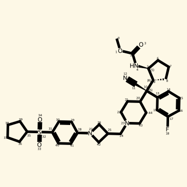 COC(=O)N[C@H]1CCC[C@@H]1[C@](C#N)(c1cccc(F)c1)C1CCN(CC2CN(c3ccc(S(=O)(=O)C4CCCC4)cc3)C2)CC1